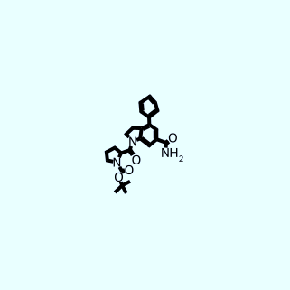 CC(C)(C)OC(=O)N1CCCC1C(=O)N1CCc2c(-c3ccccc3)cc(C(N)=O)cc21